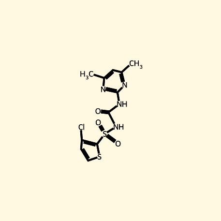 Cc1cc(C)nc(NC(=O)NS(=O)(=O)c2sccc2Cl)n1